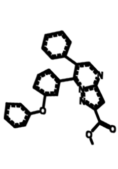 COC(=O)c1cc2ncc(-c3ccccc3)c(-c3cccc(Oc4ccccc4)c3)n2n1